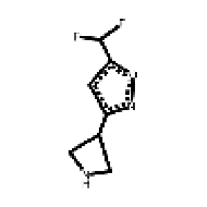 FC(F)c1cc(C2CNC2)no1